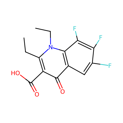 CCc1c(C(=O)O)c(=O)c2cc(F)c(F)c(F)c2n1CC